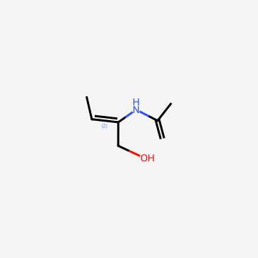 C=C(C)N/C(=C\C)CO